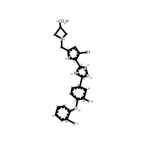 CCc1cc(CN2CC(C(=O)O)C2)sc1-c1noc(-c2ccc(Oc3ccccc3F)c(F)c2)n1